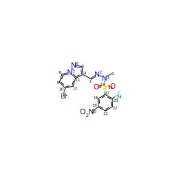 CN(N=Cc1cnn2ccc(Br)cc12)S(=O)(=O)c1cc([N+](=O)[O-])ccc1F